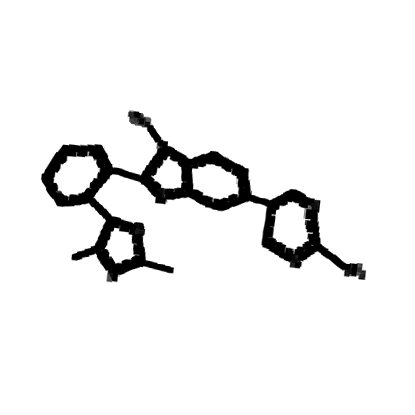 Cc1nc(C)c(-c2ccccc2-c2nc3cc(-c4cnc(N)nc4)ccc3n2C(C)(C)C)o1